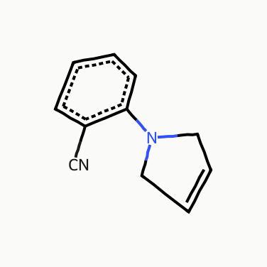 N#Cc1ccccc1N1CC=CC1